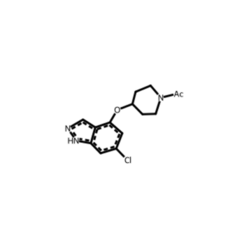 CC(=O)N1CCC(Oc2cc(Cl)cc3[nH]ncc23)CC1